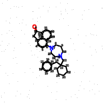 O=C1Cc2ccc(N3CCCN(CC4(Cc5ccccc5)CCCCC4)CC3)c3cccc1c23